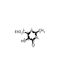 CCOC(=O)c1nc(C)nc(Cl)c1S